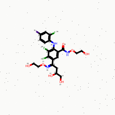 O=C(NOCCO)c1cc(/C(CC(O)CO)=N\OCCO)c(F)c(F)c1Nc1ccc(I)cc1F